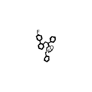 Fc1ccc(-c2ccccc2CC(=C2CN(Cc3ccccc3)CCO2)c2ccccc2)cc1